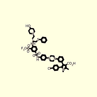 Cc1c(C(=O)O)c(-c2cccc(N3CCN(c4ccc(NS(=O)(=O)c5ccc(N[C@H](CCN6CCC(O)CC6)CSc6ccccc6)c(S(=O)(=O)C(F)(F)F)c5)cc4)CC3)c2)c(-c2ccc(Cl)cc2)n1C